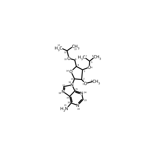 COC1C(OC(C)C)C(COC(C)C)OC1n1cnc2c(N)ncnc21